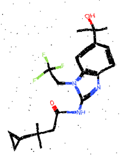 CC(C)(O)c1ccc2nc(NC(=O)CC(C)(C)C3CC3)n(CC(F)(F)F)c2c1